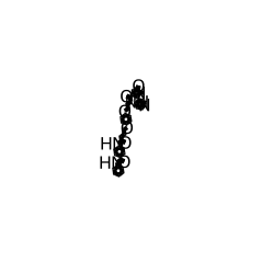 CN1C(=O)C[C@H](C(=O)NCCO[C@H]2CC[C@@H](OCCCC(=O)N[C@H]3CC[C@@H](C(=O)NC4CCCCC4)CC3)CC2)[C@H]1c1cccnc1